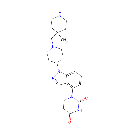 CC1(CN2CCC(n3ncc4c(N5CCC(=O)NC5=O)cccc43)CC2)CCNCC1